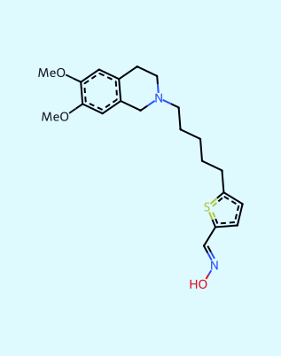 COc1cc2c(cc1OC)CN(CCCCCc1ccc(/C=N/O)s1)CC2